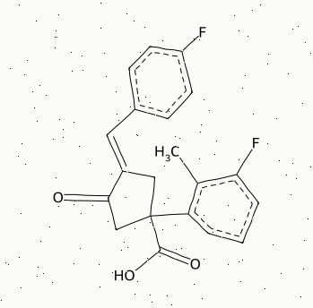 Cc1c(F)cccc1C1(C(=O)O)CC(=O)/C(=C/c2ccc(F)cc2)C1